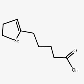 O=C(O)CCCCC1=CCC[Se]1